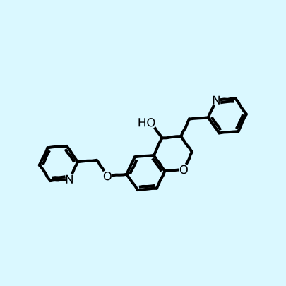 OC1c2cc(OCc3ccccn3)ccc2OCC1Cc1ccccn1